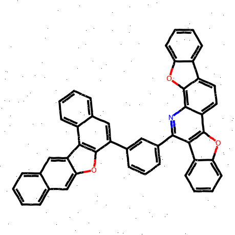 c1cc(-c2cc3ccccc3c3c2oc2cc4ccccc4cc23)cc(-c2nc3c(ccc4c5ccccc5oc43)c3oc4ccccc4c23)c1